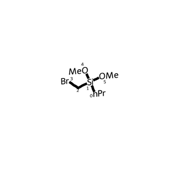 CCC[Si](CBr)(OC)OC